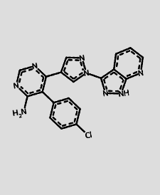 Nc1ncnc(-c2cnn(-c3n[nH]c4ncccc34)c2)c1-c1ccc(Cl)cc1